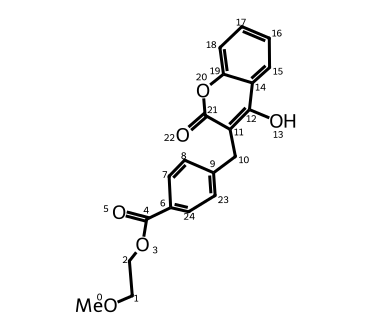 COCCOC(=O)c1ccc(Cc2c(O)c3ccccc3oc2=O)cc1